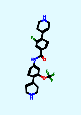 O=C(Nc1ccc(C2=CCNCC2)c(OC(F)(F)F)c1)c1ccc(C2=CCNCC2)c(F)c1